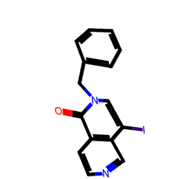 O=c1c2ccncc2c(I)cn1Cc1ccccc1